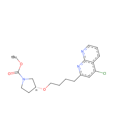 CC(C)(C)OC(=O)N1CC[C@@H](OCCCCc2cc(Cl)c3cccnc3n2)C1